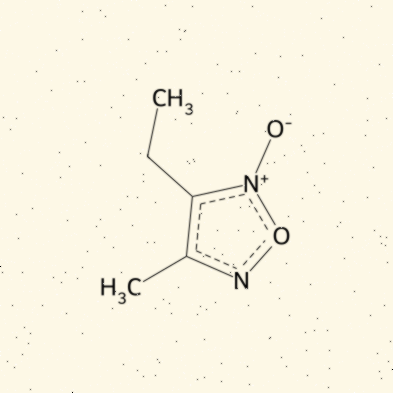 CCc1c(C)no[n+]1[O-]